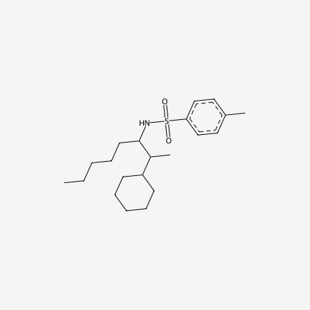 CCCCCC(NS(=O)(=O)c1ccc(C)cc1)C(C)C1CCCCC1